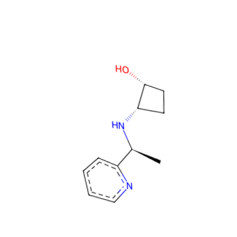 C[C@H](N[C@H]1CC[C@H]1O)c1ccccn1